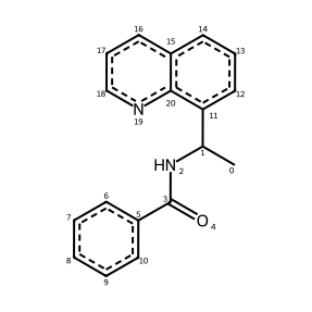 CC(NC(=O)c1ccccc1)c1cccc2cccnc12